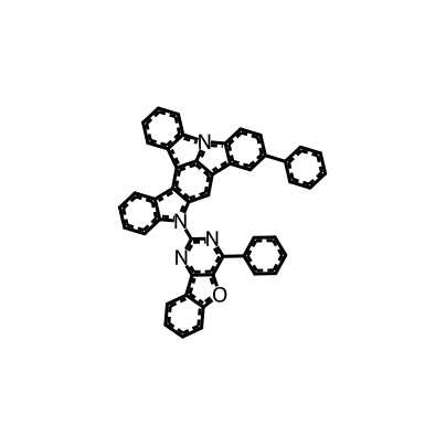 c1ccc(-c2ccc3c(c2)c2cc4c(c5ccccc5n4-c4nc(-c5ccccc5)c5oc6ccccc6c5n4)c4c5ccccc5n3c24)cc1